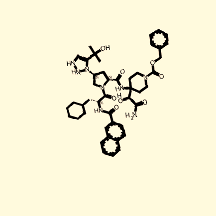 CC(C)(O)C1=CNNN1[C@H]1C[C@@H](C(=O)NC2(C(O)C(N)=O)CCN(C(=O)OCc3ccccc3)CC2)N(C(=O)[C@@H](CC2CCCCC2)NC(=O)c2ccc3ccccc3c2)C1